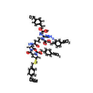 COc1ccc(CS[C@H]2C[C@@H](C(=O)N3CC(NC(=O)CCCN(C(=O)OCc4ccc([N+](=O)[O-])cc4)C(N)=NC(=O)OCc4ccc([N+](=O)[O-])cc4)C3)N(C(=O)OCc3ccc([N+](=O)[O-])cc3)C2)cc1